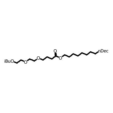 CCCCCCCCCCCCCCCCCCOC(=O)CCCOCCOCCOCC(C)C